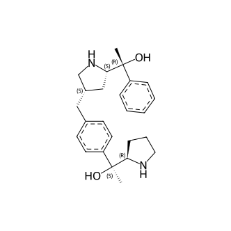 C[C@](O)(c1ccc(C[C@@H]2CN[C@H]([C@](C)(O)c3ccccc3)C2)cc1)[C@H]1CCCN1